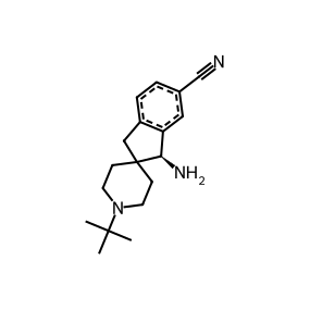 CC(C)(C)N1CCC2(CC1)Cc1ccc(C#N)cc1[C@H]2N